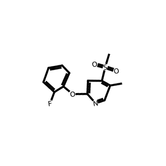 Cc1cnc(Oc2ccccc2F)cc1S(C)(=O)=O